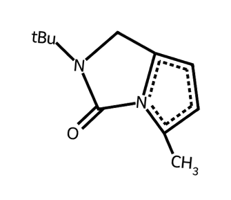 Cc1ccc2n1C(=O)N(C(C)(C)C)C2